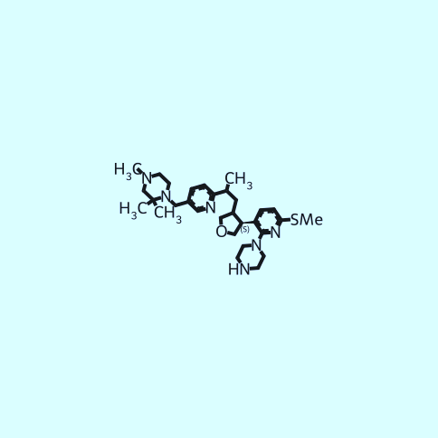 CSc1ccc([C@H]2COCC2CC(C)c2ccc(CN3CCN(C)CC3(C)C)cn2)c(N2CCNCC2)n1